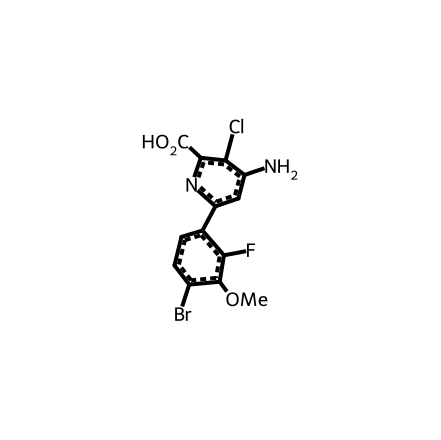 COc1c(Br)ccc(-c2cc(N)c(Cl)c(C(=O)O)n2)c1F